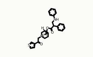 O=C(C[N+]12CCC(CC1)[C@@H](OC(=O)C(CNc1ccccc1)c1ccccc1)C2)c1ccsc1